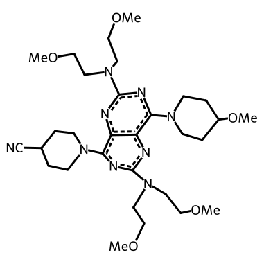 COCCN(CCOC)c1nc(N2CCC(OC)CC2)c2nc(N(CCOC)CCOC)nc(N3CCC(C#N)CC3)c2n1